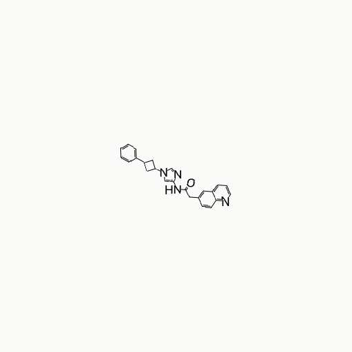 O=C(Cc1ccc2ncccc2c1)Nc1cn(C2CC(c3ccccc3)C2)cn1